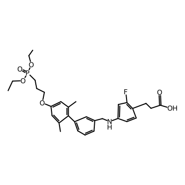 CCOP(=O)(CCCOc1cc(C)c(-c2cccc(CNc3ccc(CCC(=O)O)c(F)c3)c2)c(C)c1)OCC